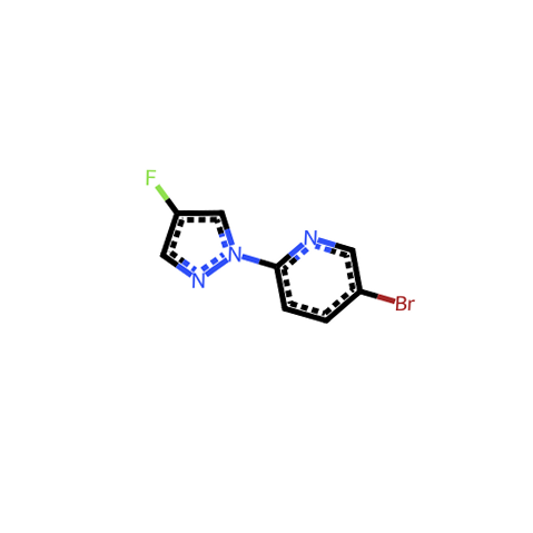 Fc1cnn(-c2ccc(Br)cn2)c1